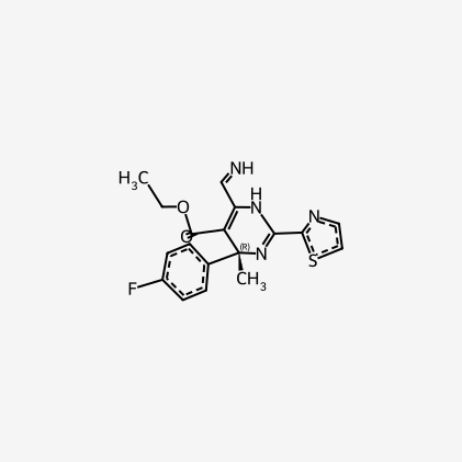 CCOC(=O)C1=C(C=N)NC(c2nccs2)=N[C@]1(C)c1ccc(F)cc1